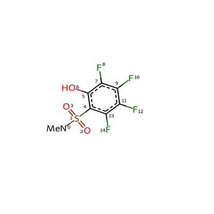 CNS(=O)(=O)c1c(O)c(F)c(F)c(F)c1F